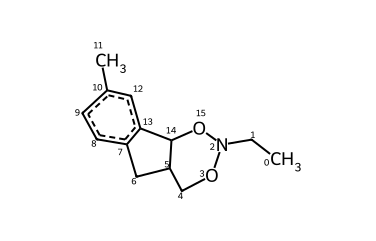 CCN1OCC2Cc3ccc(C)cc3C2O1